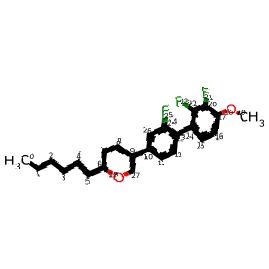 CCCCCCC1CCC(c2ccc(-c3ccc(OC)c(F)c3F)c(F)c2)CO1